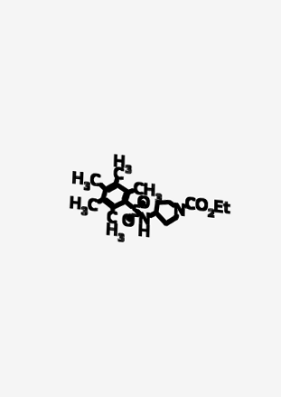 CCOC(=O)N1CCC(NS(=O)(=O)c2c(C)c(C)c(C)c(C)c2C)CC1